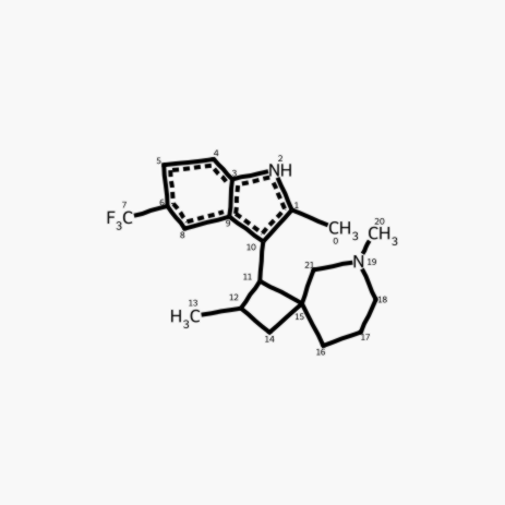 Cc1[nH]c2ccc(C(F)(F)F)cc2c1C1C(C)CC12CCCN(C)C2